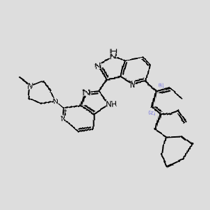 C=C/C(=C\C(=C/C)c1ccc2[nH]nc(-c3nc4c(N5CCN(C)CC5)nccc4[nH]3)c2n1)CC1CCCCC1